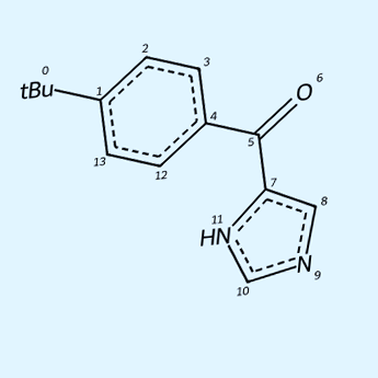 CC(C)(C)c1ccc(C(=O)c2cnc[nH]2)cc1